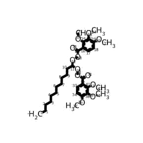 [CH2]CCCCCCCCCC[C](OOC(=O)c1ccc(OC)c(OC)c1OC)OOC(=O)c1ccc(OC)c(OC)c1OC